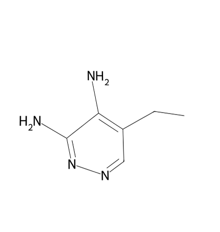 CCc1cnnc(N)c1N